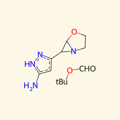 CC(C)(C)OC=O.Nc1cc(C2C3OCCN32)n[nH]1